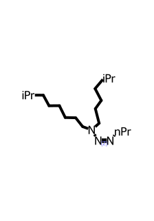 CCC/N=N\N(CCCCCCC(C)C)CCCCC(C)C